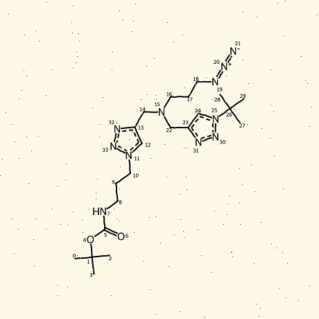 CC(C)(C)OC(=O)NCCCn1cc(CN(CCCN=[N+]=[N-])Cc2cn(C(C)(C)C)nn2)nn1